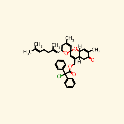 CC(C)=CCC/C(C)=C/[C@@H]1CC(C)=C[C@]2(C=C(COC(=O)C(Cl)(c3ccccc3)c3ccccc3)[C@H]3CC(=O)C(C)=C[C@H]3O2)O1